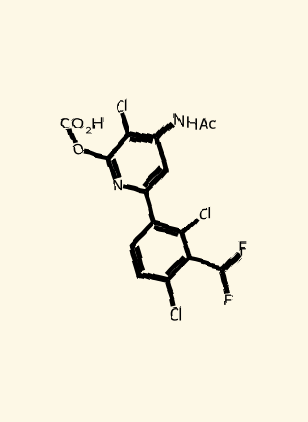 CC(=O)Nc1cc(-c2ccc(Cl)c(C(F)F)c2Cl)nc(OC(=O)O)c1Cl